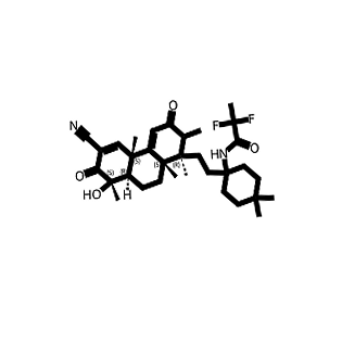 CC1C(=O)C=C2[C@@]3(C)C=C(C#N)C(=O)[C@@](C)(O)[C@@H]3CC[C@@]2(C)[C@]1(C)CCC1(NC(=O)C(C)(F)F)CCC(C)(C)CC1